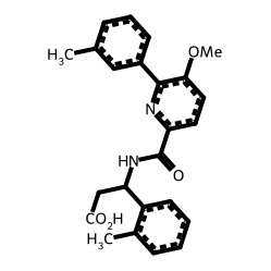 COc1ccc(C(=O)NC(CC(=O)O)c2ccccc2C)nc1-c1cccc(C)c1